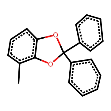 Cc1cccc2c1OC(c1ccccc1)(c1ccccc1)O2